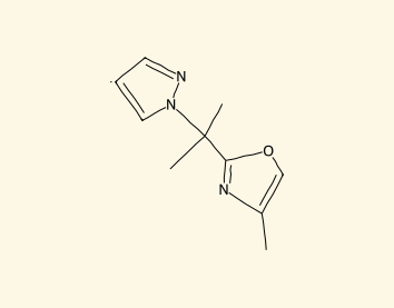 Cc1coc(C(C)(C)n2c[c]cn2)n1